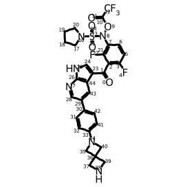 O=C(c1c(F)ccc(N(OC(=O)C(F)(F)F)S(=O)(=O)N2CCCC2)c1F)c1c[nH]c2ncc(-c3ccc(N4CC5(CNC5)C4)cc3)cc12